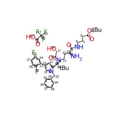 CC(C)(C)OC(=O)CCCNC(=O)[C@@H](N)CCN(C(=O)CO)[C@@H](c1cc(-c2cc(F)ccc2F)cn1Cc1ccccc1)C(C)(C)C.O=C(O)C(F)(F)F